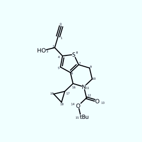 C#CC(O)c1cc2c(s1)CCN(C(=O)OC(C)(C)C)C2C1CC1